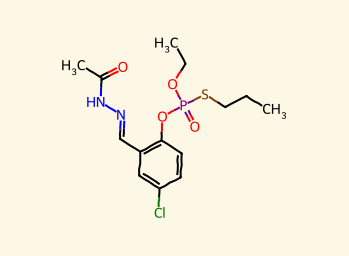 CCCSP(=O)(OCC)Oc1ccc(Cl)cc1C=NNC(C)=O